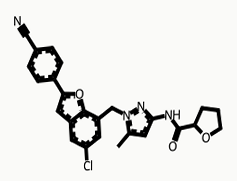 Cc1cc(NC(=O)C2CCCO2)nn1Cc1cc(Cl)cc2cc(-c3ccc(C#N)cc3)oc12